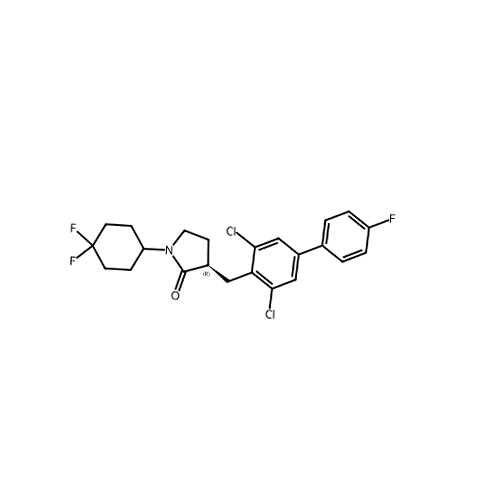 O=C1[C@H](Cc2c(Cl)cc(-c3ccc(F)cc3)cc2Cl)CCN1C1CCC(F)(F)CC1